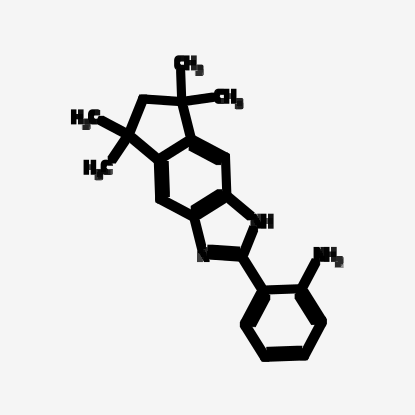 CC1(C)CC(C)(C)c2cc3[nH]c(-c4ccccc4N)nc3cc21